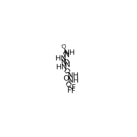 O=C(Nc1ccc(Nc2nccc(Nc3cc(C4CCCC4)[nH]n3)n2)cc1)Nc1cccc(C(F)(F)F)c1